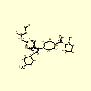 CCC[C@H](C)Nc1ncc2c(C3CCN(C(=O)[C@@H]4CCCCN4C)CC3)cn(C3CCC(O)CC3)c2n1